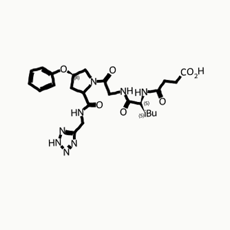 CC[C@H](C)[C@H](NC(=O)CCC(=O)O)C(=O)NCC(=O)N1C[C@H](Oc2ccccc2)CC1C(=O)NCc1nn[nH]n1